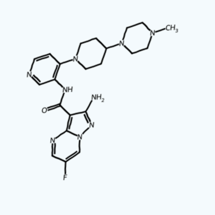 CN1CCN(C2CCN(c3ccncc3NC(=O)c3c(N)nn4cc(F)cnc34)CC2)CC1